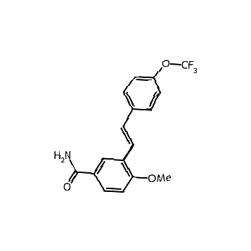 COc1ccc(C(N)=O)cc1C=Cc1ccc(OC(F)(F)F)cc1